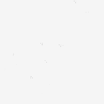 FC(F)(F)c1cnc(Nc2ccc3ncoc3c2)nc1NC1CC1